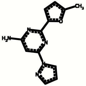 Cc1ccc(-c2nc(N)cc(-n3cccn3)n2)o1